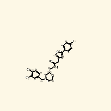 O=C(Cc1noc(-c2ccc(F)cc2)n1)NC[C@H]1CN(Cc2ccc(Cl)c(Cl)c2)CCO1